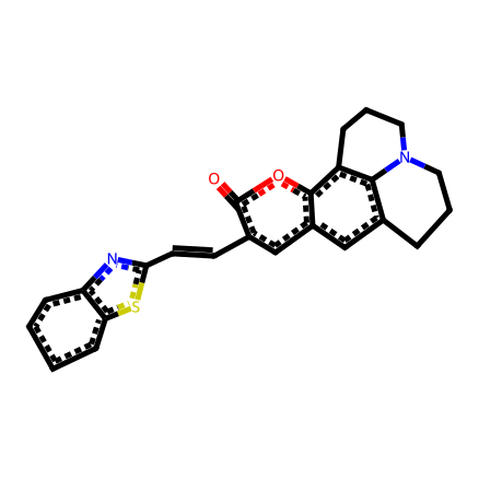 O=c1oc2c3c4c(cc2cc1/C=C/c1nc2ccccc2s1)CCCN4CCC3